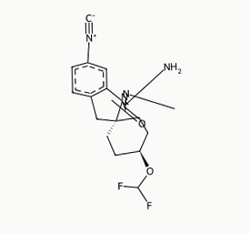 [C-]#[N+]c1ccc2c(c1)C1(N=C(N)N(C)C1=O)[C@]1(CC[C@H](OC(F)F)CC1)C2